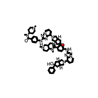 CN1CCC(N(C)C(=O)c2ccc(Nc3nc4c(N5C[C@H]6CC(=O)C[C@@]6(NCC6CN(C)CCC6N(C)C(=O)c6ccc(Nc7nc8c(N9C[C@@H]%10C[C@](O)(c%11ccccc%11)C[C@@H]%10C9)cccn8n7)cc6)C5)cccn4n3)cc2)CC1